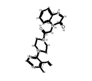 C=Cc1c(C)ncnc1N1CCN(C(=O)Cn2c(=O)cnc3ccccc32)CC1